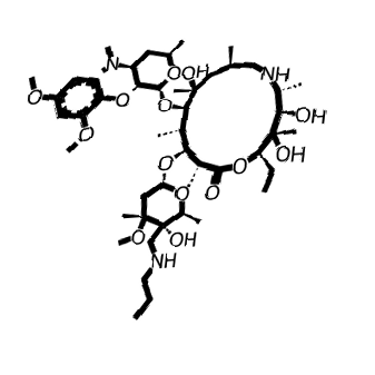 CCCNC[C@]1(O)[C@H](C)O[C@@H](O[C@H]2[C@H](C)[C@@H](O[C@@H]3O[C@H](C)C[C@H](N(C)C)[C@H]3Oc3ccc(OC)cc3OC)[C@](C)(O)C[C@@H](C)CN[C@H](C)[C@@H](O)[C@](C)(O)[C@@H](CC)OC(=O)[C@@H]2C)C[C@@]1(C)OC